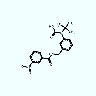 CC(C)(C)N(C(=O)O)c1cccc(CNC(=O)c2cccc([N+](=O)[O-])c2)c1